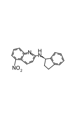 O=[N+]([O-])c1cccc2nc(N[C@@H]3CCc4ccccc43)ccc12